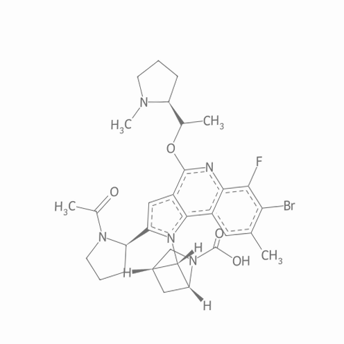 CC(=O)N1CCC[C@@H]1c1cc2c(OC(C)[C@@H]3CCCN3C)nc3c(F)c(Br)c(C)cc3c2n1[C@H]1[C@@H]2C[C@H]1N(C(=O)O)C2